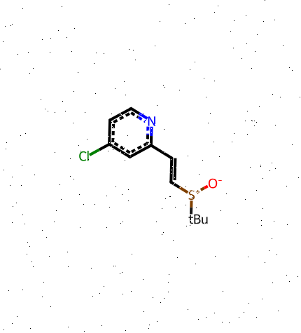 CC(C)(C)[S+]([O-])/C=C/c1cc(Cl)ccn1